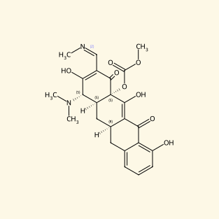 C/N=C\C1=C(O)[C@@H](N(C)C)[C@@H]2C[C@@H]3Cc4cccc(O)c4C(=O)C3=C(O)[C@]2(OC(=O)OC)C1=O